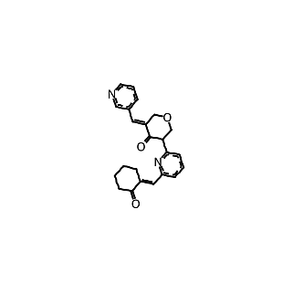 O=C1CCCC/C1=C\c1cccc(C2COC/C(=C\c3cccnc3)C2=O)n1